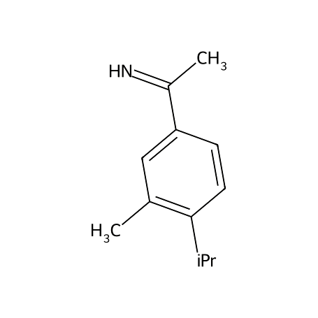 CC(=N)c1ccc(C(C)C)c(C)c1